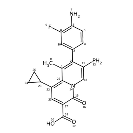 Cc1c(-c2ccc(N)c(F)c2)c(P)cn2c(=O)c(C(=O)O)cc(C3CC3)c12